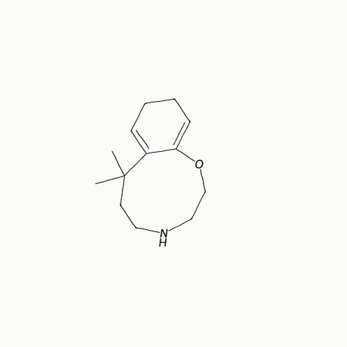 CC1(C)CCNCCOC2=CCCC=C21